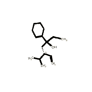 C=C[C@@H](CC(O)(CC)C1CCCCC1)C(C)C